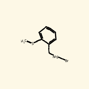 CSc1ccccc1[CH2][Mg][Br]